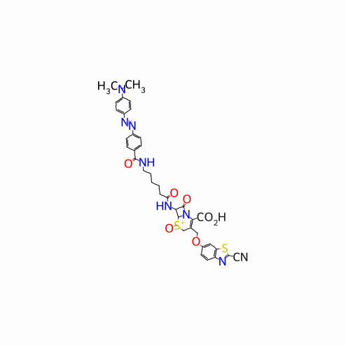 CN(C)c1ccc(/N=N/c2ccc(C(=O)NCCCCCC(=O)NC3C(=O)N4C(C(=O)O)=C(COc5ccc6nc(C#N)sc6c5)C[S+]([O-])C34)cc2)cc1